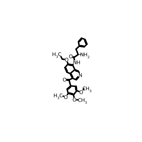 CCOc1ccc2c(C(=O)c3cc(OC)c(OC)c(OC)c3)cncc2c1NC(=O)[C@@H](N)Cc1ccccc1